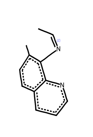 C/C=N\c1c(C)ccc2cccnc12